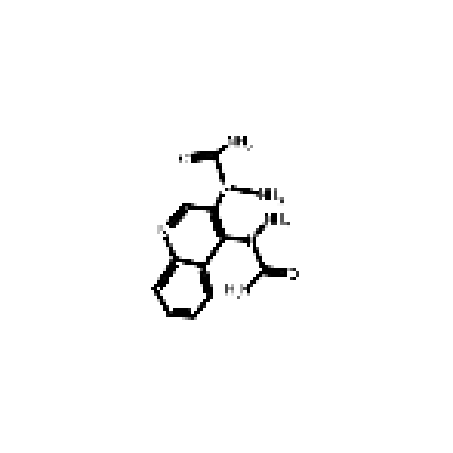 NC(=O)N(N)c1cnc2ccccc2c1N(N)C(N)=O